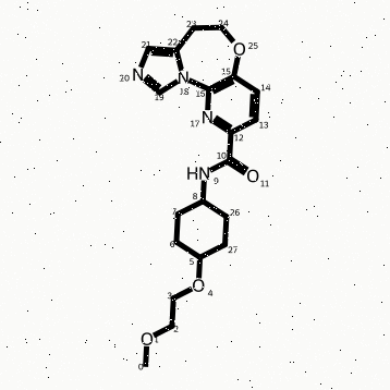 COCCOC1CCC(NC(=O)c2ccc3c(n2)-n2cncc2CCO3)CC1